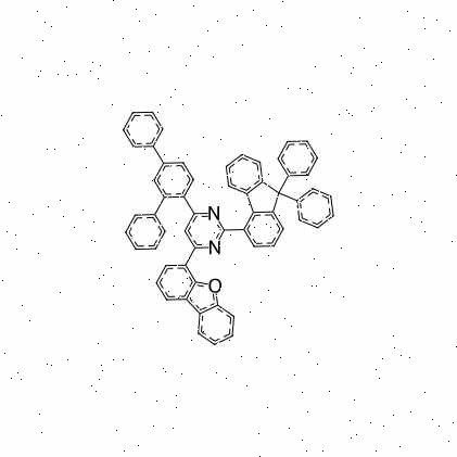 c1ccc(-c2ccc(-c3cc(-c4cccc5c4oc4ccccc45)nc(-c4cccc5c4-c4ccccc4C5(c4ccccc4)c4ccccc4)n3)c(-c3ccccc3)c2)cc1